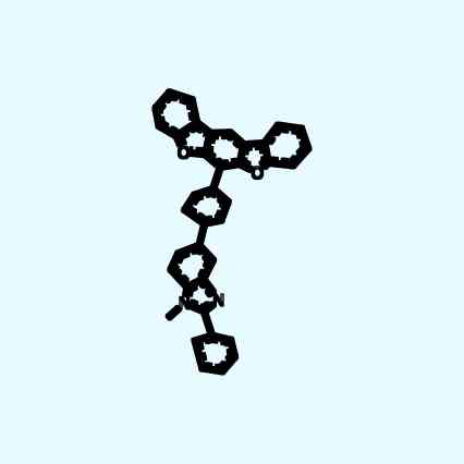 Cn1c(-c2ccccc2)nc2cc(-c3ccc(-c4c5oc6ccccc6c5cc5c4oc4ccccc45)cc3)ccc21